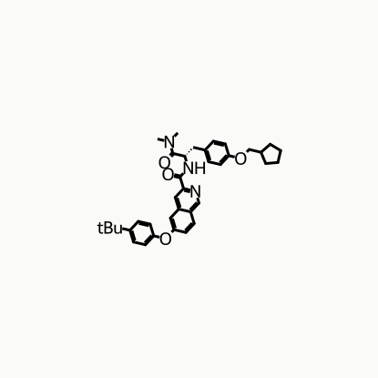 CN(C)C(=O)[C@H](Cc1ccc(OCC2CCCC2)cc1)NC(=O)c1cc2cc(Oc3ccc(C(C)(C)C)cc3)ccc2cn1